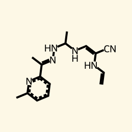 C=CN/C(C#N)=C\NC(C)N/N=C(\C)c1cccc(C)n1